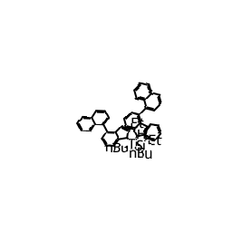 CCC[CH2][Ti]([CH2]CCC)([CH]1C(CC)=Cc2c(-c3cccc4ccccc34)cccc21)([CH]1C(CC)=Cc2c(-c3cccc4ccccc34)cccc21)[SiH](C)c1ccccc1